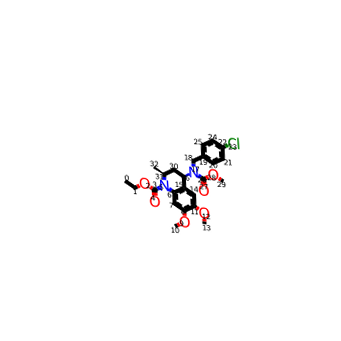 CCOC(=O)N1c2cc(OC)c(OC)cc2[C@H](N(Cc2ccc(Cl)cc2)C(=O)OC)C[C@@H]1C